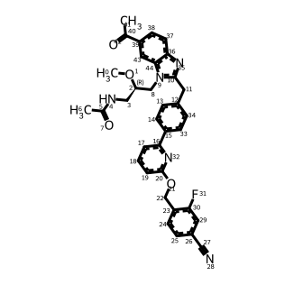 CO[C@H](CNC(C)=O)Cn1c(Cc2ccc(-c3cccc(OCc4ccc(C#N)cc4F)n3)cc2)nc2ccc(C(C)=O)cc21